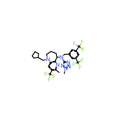 Cc1nc2c(cc1C(F)(F)F)N(CC1CCCC1)CCCC2N(Cc1cc(C(F)(F)F)cc(C(F)(F)F)c1)c1nnn(C)n1